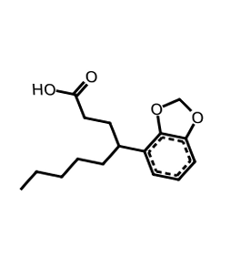 CCCCCC(CCC(=O)O)c1cccc2c1OCO2